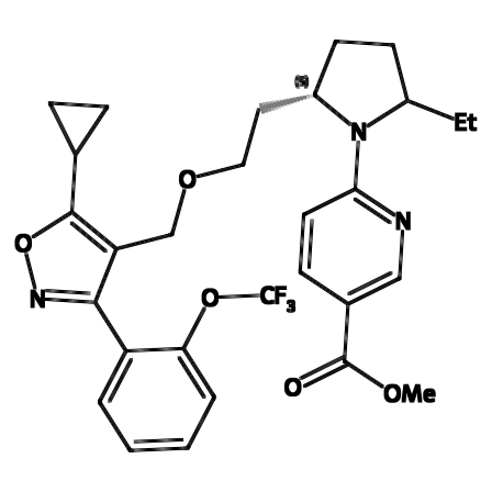 CCC1CC[C@@H](CCOCc2c(-c3ccccc3OC(F)(F)F)noc2C2CC2)N1c1ccc(C(=O)OC)cn1